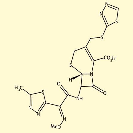 CON=C(C(=O)NC1C(=O)N2C(C(=O)O)=C(CSc3nncs3)CS[C@@H]12)c1nnc(C)s1